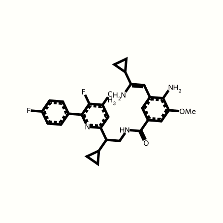 COc1cc(C(=O)NCC(c2cc(C)c(F)c(-c3ccc(F)cc3)n2)C2CC2)cc(/C=C(\N)C2CC2)c1N